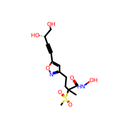 CC(CCc1cc(C#C[C@H](O)CO)on1)(C(=O)NO)S(C)(=O)=O